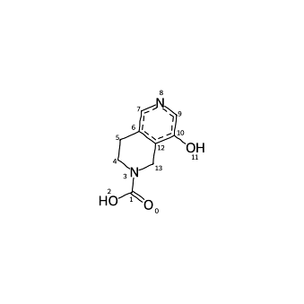 O=C(O)N1CCc2cncc(O)c2C1